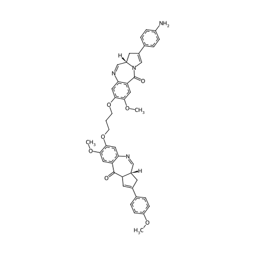 COc1ccc(C2=CC3C(=O)c4cc(OC)c(OCCCOc5cc6c(cc5OC)C(=O)N5C=C(c7ccc(N)cc7)C[C@H]5C=N6)cc4N=C[C@@H]3C2)cc1